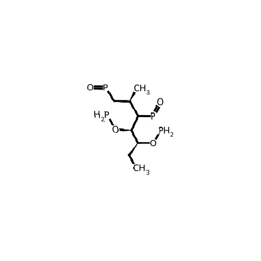 CC[C@H](OP)[C@@H](OP)C(P=O)[C@H](C)CP=O